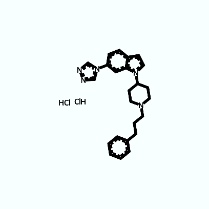 Cl.Cl.c1ccc(CCCN2CCC(n3ccc4ccc(-n5cnnc5)cc43)CC2)cc1